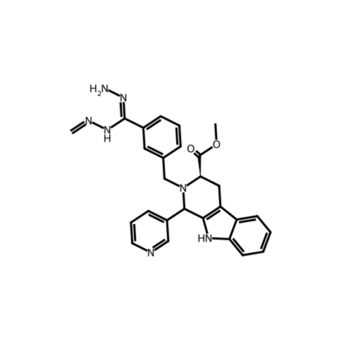 C=NN/C(=N\N)c1cccc(CN2C(c3cccnc3)c3[nH]c4ccccc4c3C[C@@H]2C(=O)OC)c1